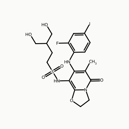 Cc1c(Nc2ccc(I)cc2F)c(NS(=O)(=O)CCC(CO)CO)c2n(c1=O)CCO2